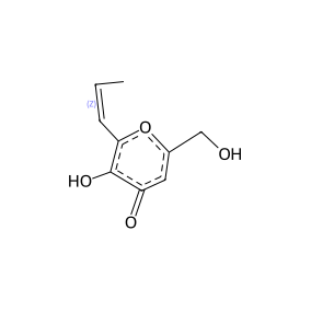 C/C=C\c1oc(CO)cc(=O)c1O